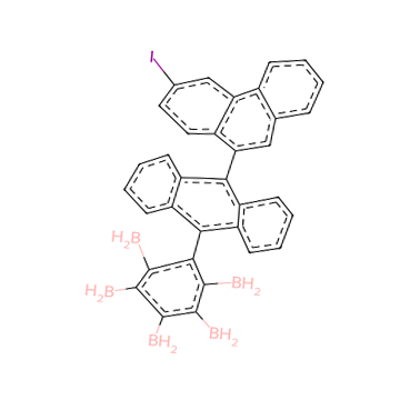 Bc1c(B)c(B)c(-c2c3ccccc3c(-c3cc4ccccc4c4cc(I)ccc34)c3ccccc23)c(B)c1B